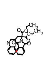 CCOC(=O)C(Cc1cnc2ccccc2n1)(C(=O)OCC)N1C(=O)c2ccccc2C1=O